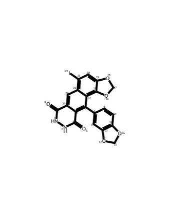 O=c1[nH][nH]c(=O)c2c(-c3ccc4c(c3)OCO4)c3c4c(cc(I)c3cc12)OCO4